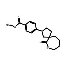 CC(C)(C)OC(=O)c1ccc(N2CCC3(CCCCNC3=O)C2)cc1